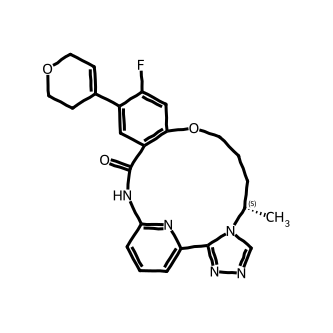 C[C@H]1CCCOc2cc(F)c(C3=CCOCC3)cc2C(=O)Nc2cccc(n2)-c2nncn21